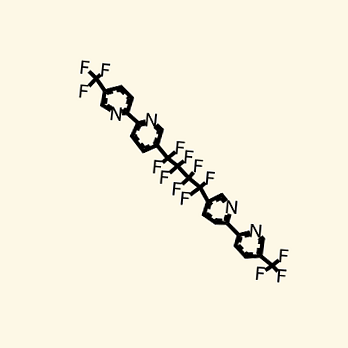 FC(F)(F)c1ccc(-c2ccc(C(F)(F)C(F)(F)C(F)(F)C(F)(F)c3ccc(-c4ccc(C(F)(F)F)cn4)nc3)cn2)nc1